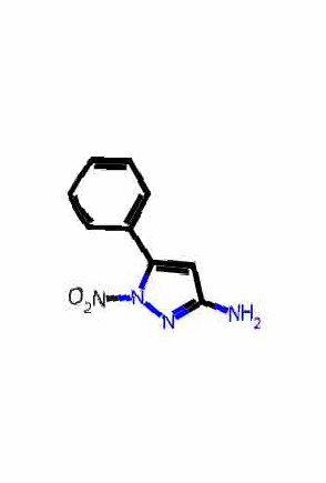 Nc1cc(-c2ccccc2)n([N+](=O)[O-])n1